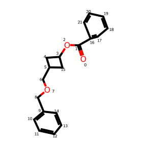 O=C(OC1CC(COCc2ccccc2)C1)c1ccccc1